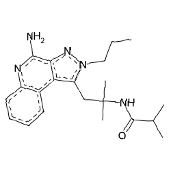 CCCn1nc2c(N)nc3ccccc3c2c1CC(C)(C)NC(=O)C(C)C